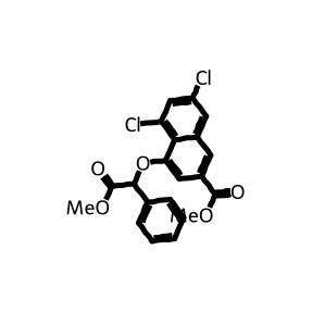 COC(=O)c1cc(OC(C(=O)OC)c2ccccc2)c2c(Cl)cc(Cl)cc2c1